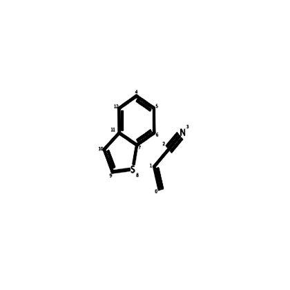 C=CC#N.c1ccc2sccc2c1